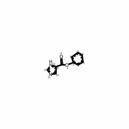 O=C(Oc1ccccc1)c1cnc[nH]1